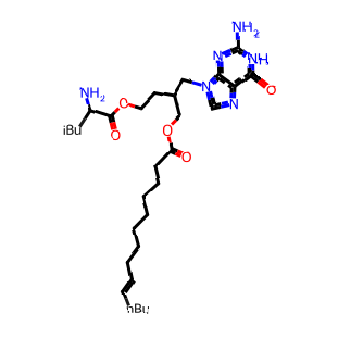 CCCC/C=C/CCCCCCCC(=O)OCC(CCOC(=O)C(N)C(C)CC)Cn1cnc2c(=O)[nH]c(N)nc21